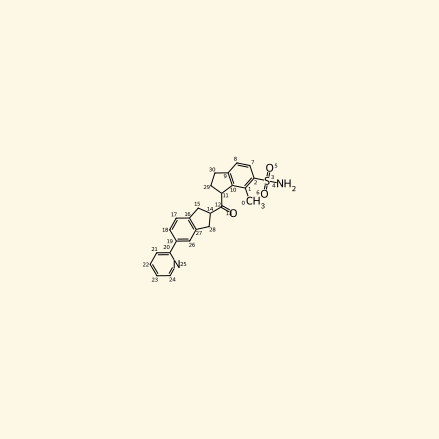 Cc1c(S(N)(=O)=O)ccc2c1C(C(=O)C1Cc3ccc(-c4ccccn4)cc3C1)CC2